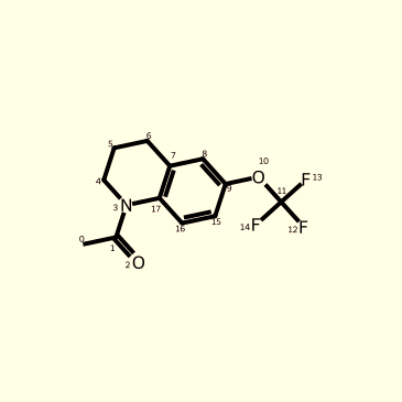 CC(=O)N1CCCc2cc(OC(F)(F)F)ccc21